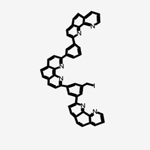 ICc1cc(-c2ccc3ccc4cccnc4c3n2)cc(-c2ccc3ccc4ccc(-c5cccc(-c6ccc7ccc8cccnc8c7n6)c5)nc4c3n2)c1